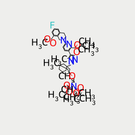 COC(=O)c1cc(F)cc2c1CN(c1ccc(-c3cnn(CC45CC6(C)CC(C)(C4)CC(OCCN(C(=O)OC(C)(C)C)C(=O)OC(C)(C)C)(C6)C5)c3C)c(C(=O)OC(C)(C)C)n1)CC2